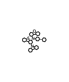 c1ccc(-c2ccc(N(c3cc(-n4c5ccccc5c5ccccc54)cc4c3sc3ccccc34)c3cccc4oc5ccccc5c34)cc2)cc1